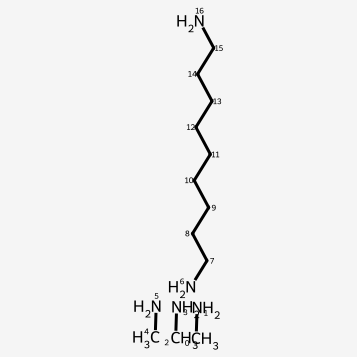 CN.CN.CN.NCCCCCCCCCN